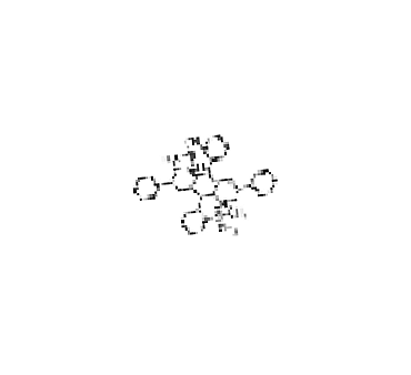 C[Si](C)(C)c1ccccc1-c1c2ccc(-c3ccccc3)cc2c(-c2ccccc2[Si](C)(C)C)c2ccc(-c3ccccc3)cc12